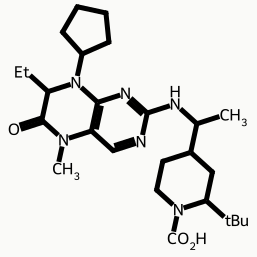 CCC1C(=O)N(C)c2cnc(NC(C)C3CCN(C(=O)O)C(C(C)(C)C)C3)nc2N1C1CCCC1